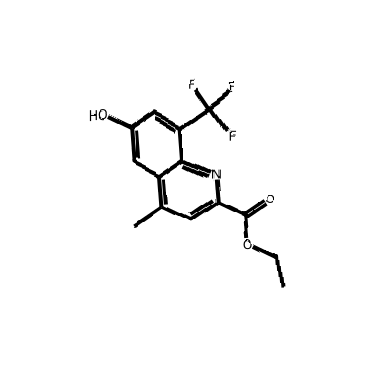 CCOC(=O)c1cc(C)c2cc(O)cc(C(F)(F)F)c2n1